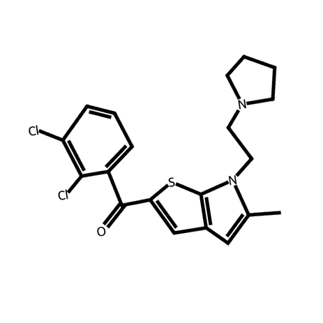 Cc1cc2cc(C(=O)c3cccc(Cl)c3Cl)sc2n1CCN1CCCC1